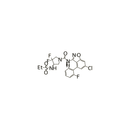 CCS(=O)(=O)N[C@@H]1CN(C(=O)Nc2noc3cc(Cl)cc(-c4c(F)cccc4F)c23)CC1(F)F